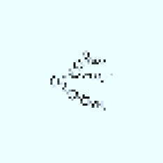 CCOC(=O)CCCCN(CCc1ccccc1OCc1ccc(-c2ccc(C)cn2)cc1)Cc1ccc(C(=O)OC)cc1